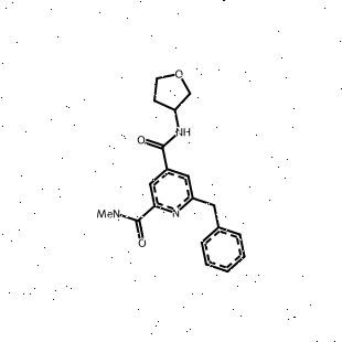 CNC(=O)c1cc(C(=O)NC2CCOC2)cc(Cc2ccccc2)n1